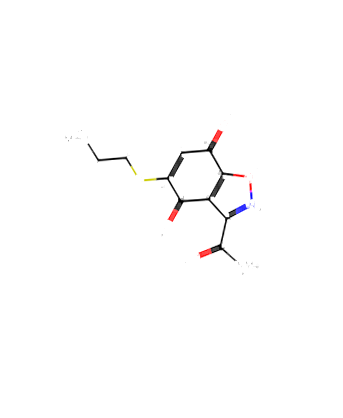 CNC(=O)c1noc2c1C(=O)C(SCCOC)=CC2=O